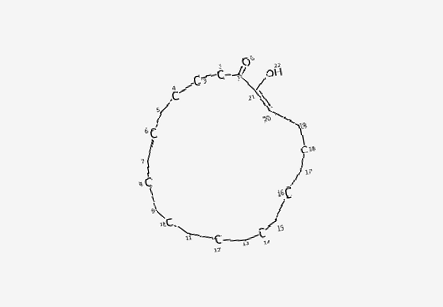 O=C1CCCCCCCCCCCCCCCCCC/C=C/1O